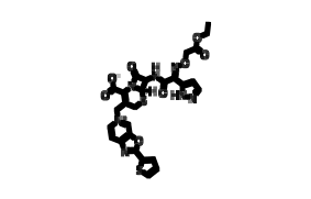 CCOC(=O)CON=C(C(=O)NC1C(=O)N2C(C(=O)[O-])=C(C[n+]3ccc4nc(-c5cccs5)oc4c3)CS[C@@H]12)c1ccn[nH]1